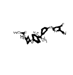 CC(C)(c1ccc(Oc2cnc(C#N)c(F)c2)cc1)c1ccc(OC2CC(NC(=O)O)C2)cc1